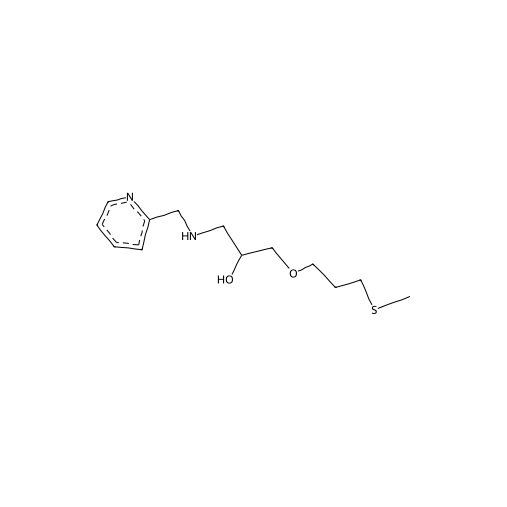 CSCCCOCC(O)CNCc1ccccn1